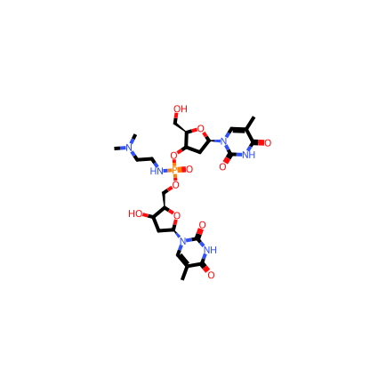 Cc1cn([C@H]2CC(O)[C@@H](COP(=O)(NCCN(C)C)OC3C[C@H](n4cc(C)c(=O)[nH]c4=O)O[C@@H]3CO)O2)c(=O)[nH]c1=O